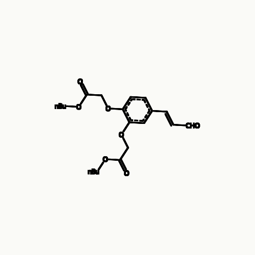 CCCCOC(=O)COc1ccc(C=CC=O)cc1OCC(=O)OCCCC